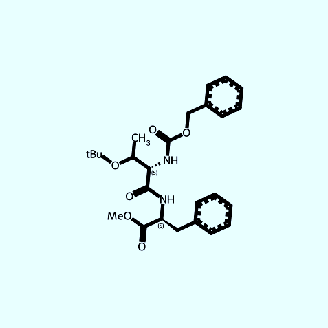 COC(=O)[C@H](Cc1ccccc1)NC(=O)[C@@H](NC(=O)OCc1ccccc1)C(C)OC(C)(C)C